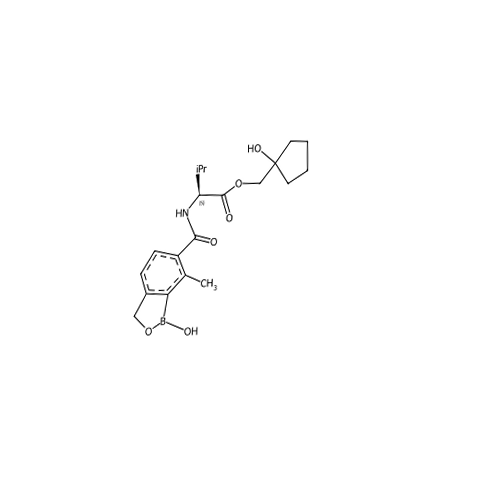 Cc1c(C(=O)N[C@H](C(=O)OCC2(O)CCCC2)C(C)C)ccc2c1B(O)OC2